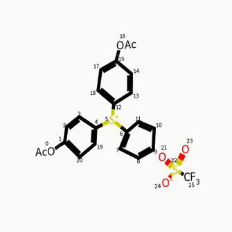 CC(=O)Oc1ccc([S+](c2ccccc2)c2ccc(OC(C)=O)cc2)cc1.O=S(=O)([O-])C(F)(F)F